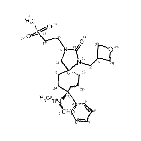 CN(C)[C@]1(c2ccccc2)CC[C@]2(CC1)CN(CCS(C)(=O)=O)C(=O)N2CC1COC1